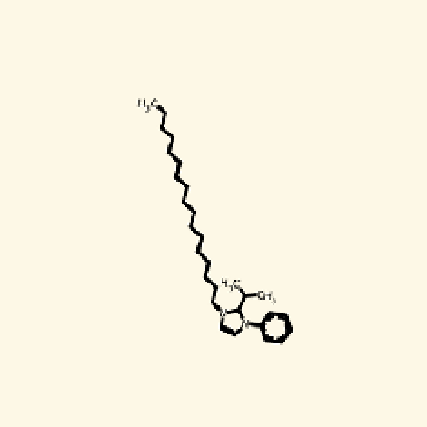 CCCCCCCCCCCCCCCCCN1C=CN(c2ccccc2)C1C(C)C